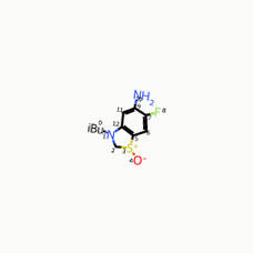 CCC(C)N1C[S+]([O-])c2cc(F)c(N)cc21